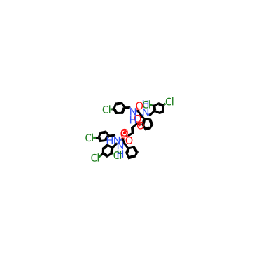 O=C(/C=C/C(=O)OC(NCc1ccc(Cl)cc1Cl)(C(=O)NCc1ccc(Cl)cc1)c1ccccc1)OC(NCc1ccc(Cl)cc1Cl)(C(=O)NCc1ccc(Cl)cc1)c1ccccc1